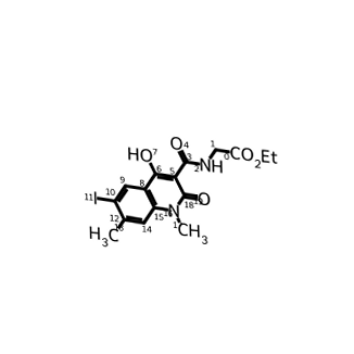 CCOC(=O)CNC(=O)c1c(O)c2cc(I)c(C)cc2n(C)c1=O